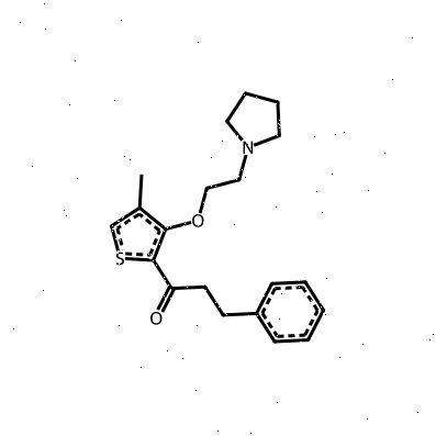 Cc1csc(C(=O)CCc2ccccc2)c1OCCN1CCCC1